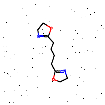 C(CCC1=NCCO1)CC1=NCCO1